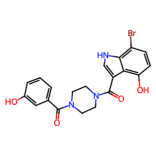 O=C(c1cccc(O)c1)N1CCN(C(=O)c2c[nH]c3c(Br)ccc(O)c23)CC1